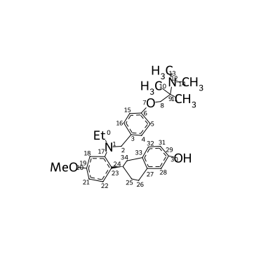 CCN(Cc1ccc(OCC(C)(C)N(C)C)cc1)c1cc(OC)ccc1[C@@H]1CCc2cc(O)ccc2C1